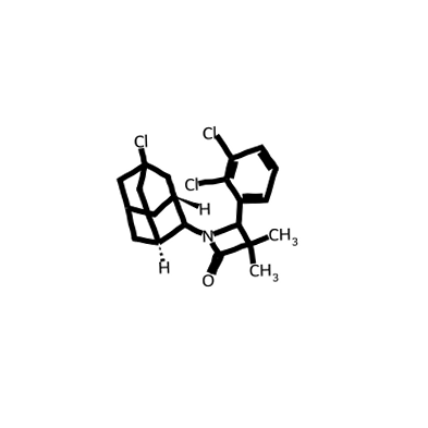 CC1(C)C(=O)N(C2[C@@H]3CC4C[C@H]2CC(Cl)(C4)C3)C1c1cccc(Cl)c1Cl